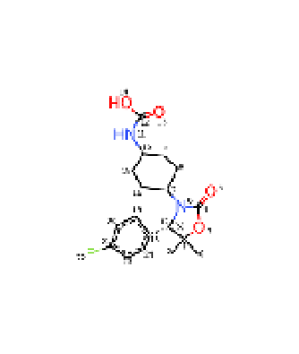 CC1(C)OC(=O)N(C2CCC(NC(=O)O)CC2)[C@H]1c1ccc(F)cc1